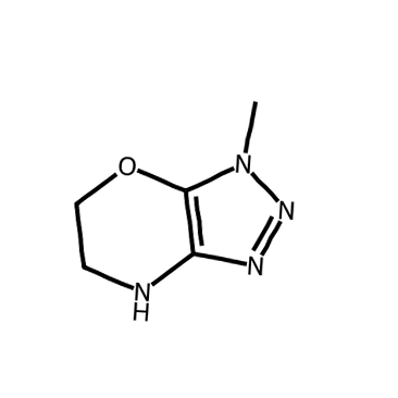 Cn1nnc2c1OCCN2